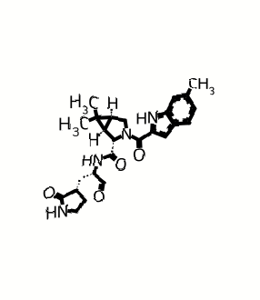 Cc1ccc2cc(C(=O)N3C[C@H]4[C@@H]([C@H]3C(=O)N[C@H](C=O)C[C@@H]3CCNC3=O)C4(C)C)[nH]c2c1